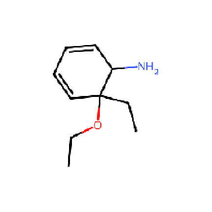 CCOC1(CC)C=CC=CC1N